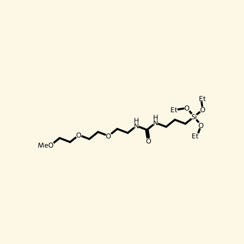 CCO[Si](CCCNC(=O)NCCOCCOCCOC)(OCC)OCC